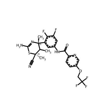 CC1[C@@](C)(C#N)SC(N)=N[C@]1(C)c1cc(NC(=O)c2ccc(OCC(F)(F)F)cn2)cc(F)c1F